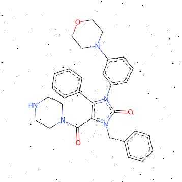 O=C(c1c(-c2ccccc2)n(-c2cccc(N3CCOCC3)c2)c(=O)n1Cc1ccccc1)N1CCNCC1